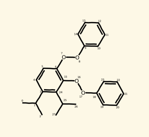 CC(C)c1ccc(OOc2ccccc2)c(OOc2ccccc2)c1C(C)C